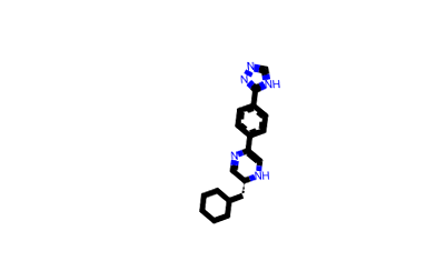 C1=NC(c2ccc(-c3nnc[nH]3)cc2)=CN[C@@H]1CC1CCCCC1